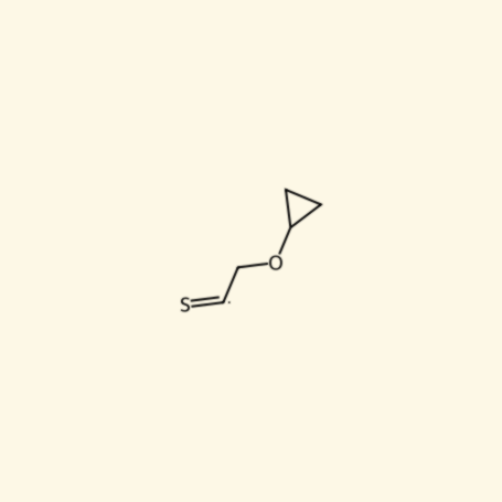 S=[C]COC1CC1